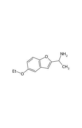 CCOc1ccc2oc(C(C)N)cc2c1